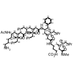 CNC(=O)CN(C[C@H](CCC(=O)O)NC(=O)CN(C[C@H](Cc1ccccc1)NC(=O)CN(C[C@H](CC(C)C)NC(=O)CN(C[C@H](CCCCN)NC(C)=O)S(=O)(=O)CC(C)C)S(=O)(=O)CC(C)C)S(=O)(=O)CC(C)C)S(=O)(=O)CC(C)C